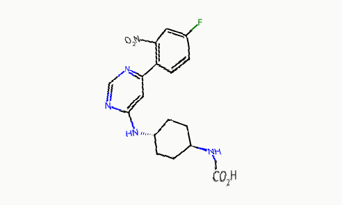 O=C(O)N[C@H]1CC[C@H](Nc2cc(-c3ccc(F)cc3[N+](=O)[O-])ncn2)CC1